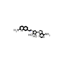 Nc1ccc2ccc(/C=C/[C@H]3C[C@@H](N4CCc5c(N)ncnc54)[C@H](O)[C@@H]3O)cc2n1